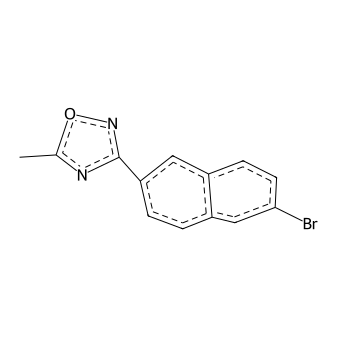 Cc1nc(-c2ccc3cc(Br)ccc3c2)no1